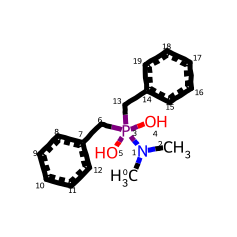 CN(C)P(O)(O)(Cc1ccccc1)Cc1ccccc1